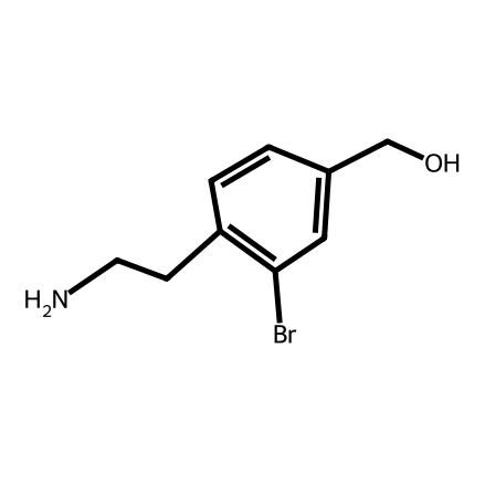 NCCc1ccc(CO)cc1Br